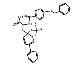 O=C(NC(CC1(OC(F)(F)F)C=CC(c2ccccc2)=CC1)C(=O)O)c1ccc(OCc2ccccc2)cc1